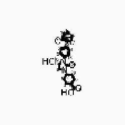 Cl.O=C(O)C1CCC(N2CCN(c3ccc([C@]45CC[N@@](CC4)CC5=O)cc3)C2=O)CC1